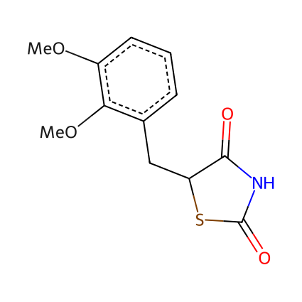 COc1cccc(CC2SC(=O)NC2=O)c1OC